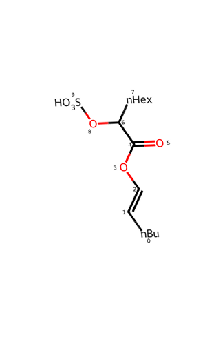 CCCCC=COC(=O)C(CCCCCC)OS(=O)(=O)O